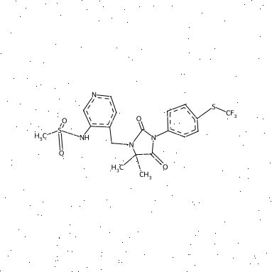 CC1(C)C(=O)N(c2ccc(SC(F)(F)F)cc2)C(=O)N1Cc1ccncc1NS(C)(=O)=O